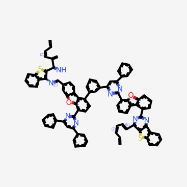 C=C/C=C\C=C\c1nc(-c2cccc3oc4c(-c5nc(-c6ccccc6)cc(-c6cccc(-c7ccc(-c8nc(-c9ccccc9)cc(-c9ccccc9)n8)c8oc9cc(/C=N/c%10c(C(=N)C(=C)/C=C\C=C)sc%11ccccc%10%11)ccc9c78)c6)n5)cccc4c23)nc2c1sc1ccccc12